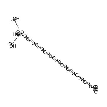 O=C(O)CCCCCCCCCCCC(CCCCCCCCCCCC(=O)O)(C(=O)O)C(=O)NCCOCCOCCOCCOCCOCCOCCOCCOCCOCCOCCOCCOCCOCCOCCOCCOCCOCCOCCOCCOCCOCCOCCOCCOCCC(=O)ON1C(=O)CCC1=O